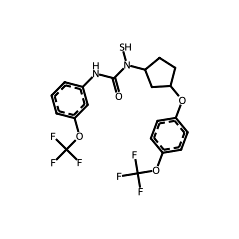 O=C(Nc1cccc(OC(F)(F)F)c1)N(S)C1CCC(Oc2ccc(OC(F)(F)F)cc2)C1